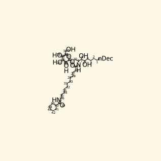 CCCCCCCCCCCCCCC(O)C(O)C(CO[C@H]1O[C@H](CO)[C@H](O)[C@H](O)[C@H]1O)NC(=O)CCCCCCCCCCCNC(=O)C1CCCCC1